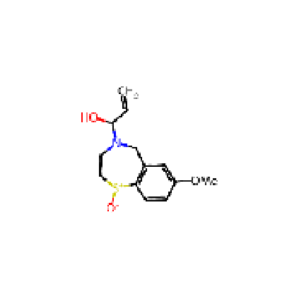 C=CC(O)N1CC[S+]([O-])c2ccc(OC)cc2C1